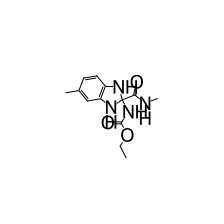 CCOC(=O)NC1(C(=O)NC)Nc2ccc(C)cc2N1